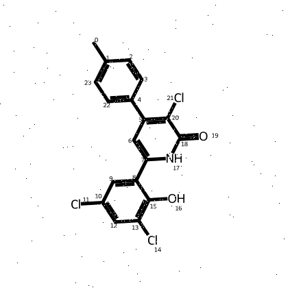 Cc1ccc(-c2cc(-c3cc(Cl)cc(Cl)c3O)[nH]c(=O)c2Cl)cc1